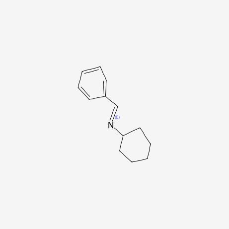 C(=N\C1CCCCC1)/c1ccccc1